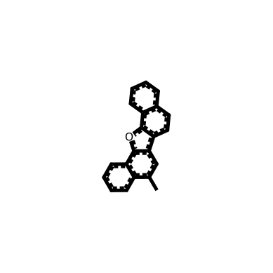 Cc1cc2c3ccc4ccccc4c3oc2c2ccccc12